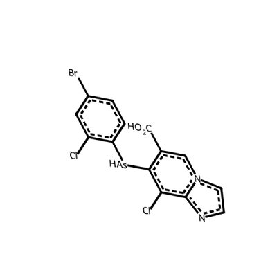 O=C(O)c1cn2ccnc2c(Cl)c1[AsH]c1ccc(Br)cc1Cl